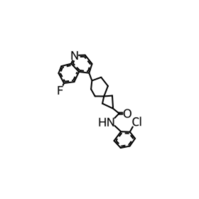 O=C(Nc1ccccc1Cl)C1CC2(CCC(c3ccnc4ccc(F)cc34)CC2)C1